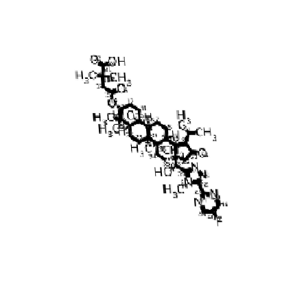 CC(C)C1=C2[C@H]3CC[C@@H]4[C@@]5(C)CC[C@H](OC(=O)CC(C)(C)C(=O)O)C(C)(C)[C@@H]5CC[C@@]4(C)[C@]3(C)CC[C@@]2([C@H](O)c2nnc(-c3ncc(F)cn3)n2C)CC1=O